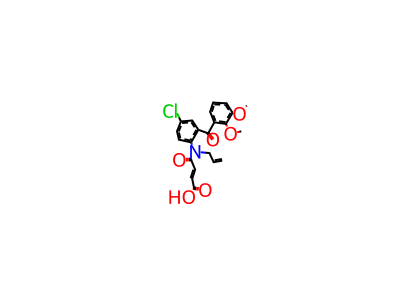 C=CCN(C(=O)C=CC(=O)O)c1ccc(Cl)cc1C(=O)c1cccc(OC)c1OC